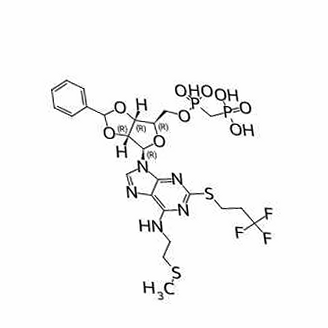 CSCCNc1nc(SCCC(F)(F)F)nc2c1ncn2[C@@H]1O[C@H](COP(=O)(O)CP(=O)(O)O)[C@H]2OC(c3ccccc3)O[C@H]21